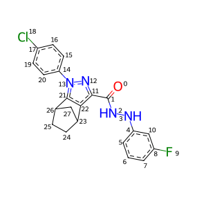 O=C(NNc1cccc(F)c1)c1nn(-c2ccc(Cl)cc2)c2c1C1CCC2C1